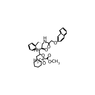 COC(=O)P(C)(=O)OC(CC1CCCCC1)NC(=O)[C@H](Cc1ccccc1)NC(=O)COc1ccc2ccccc2c1